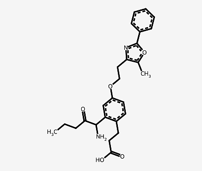 CCCC(=O)C(N)c1cc(OCCc2nc(-c3ccccc3)oc2C)ccc1CCC(=O)O